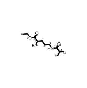 CCOC(=O)C(Br)CCCNC(=O)C(C)C